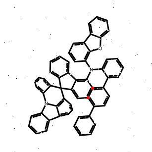 c1ccc(-c2ccc(-c3ccccc3N(c3cccc4c3-c3ccccc3C43c4ccccc4-n4c5ccccc5c5cccc3c54)c3cccc4c3oc3ccccc34)cc2)cc1